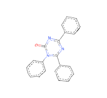 O=c1nc(-c2ccccc2)nc(-c2ccccc2)n1-c1ccccc1